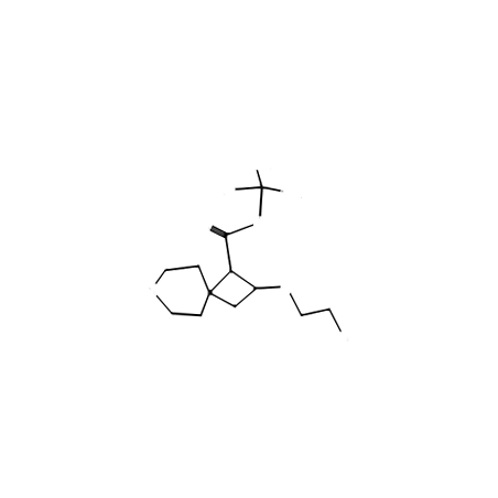 CC(C)(C)OC(=O)C1C(OCCBr)CC12CCNCC2